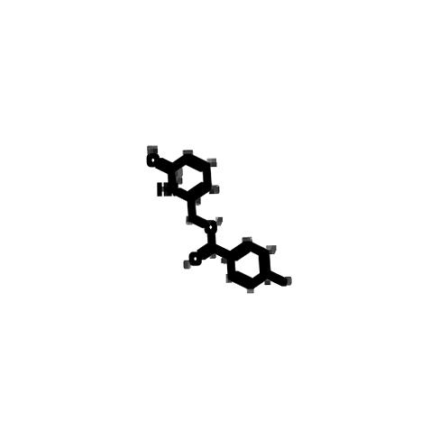 Cc1ccc(C(=O)OCc2cccc(=O)[nH]2)cc1